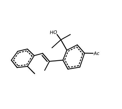 CC(=O)c1ccc(/C(C)=C/c2ccccc2C)c(C(C)(C)O)c1